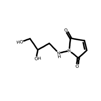 O=C1C=CC(=O)N1NCC(O)CO